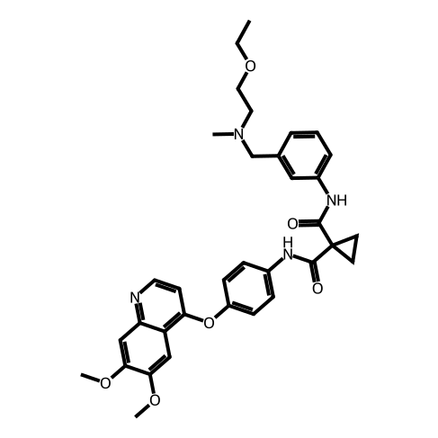 CCOCCN(C)Cc1cccc(NC(=O)C2(C(=O)Nc3ccc(Oc4ccnc5cc(OC)c(OC)cc45)cc3)CC2)c1